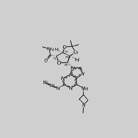 CNC(=O)[C@H]1O[C@@H](n2cnc3c(NC4CN(C)C4)nc(N=[N+]=[N-])nc32)[C@@H]2OC(C)(C)O[C@@H]21